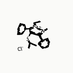 CC[n+]1c(-c2ccccc2)c(SC(C)C)c(-c2ccccc2)n1C.[Cl-]